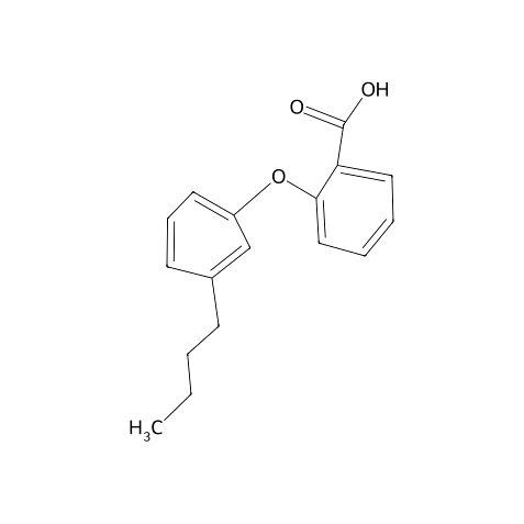 CCCCc1cccc(Oc2ccccc2C(=O)O)c1